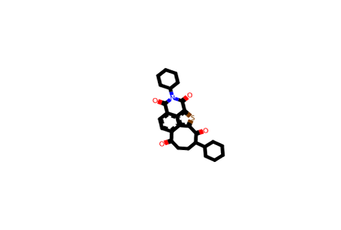 O=C1CCC(C2CCCCC2)C(=O)c2sc3c4c(ccc1c24)C(=O)N(C1CCCCC1)C3=O